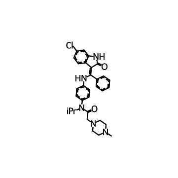 CC(C)N(C(=O)CN1CCN(C)CC1)c1ccc(NC(=C2C(=O)Nc3cc(Cl)ccc32)c2ccccc2)cc1